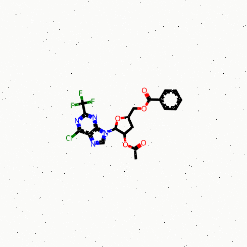 CC(=O)OC1CC(COC(=O)c2ccccc2)OC1n1cnc2c(Cl)nc(C(F)(F)F)nc21